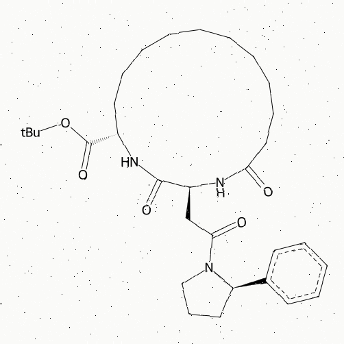 CC(C)(C)OC(=O)[C@@H]1CCCCCCCCCCC(=O)N[C@@H](CC(=O)N2CCC[C@@H]2c2ccccc2)C(=O)N1